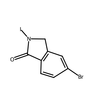 O=C1c2ccc(Br)cc2CN1I